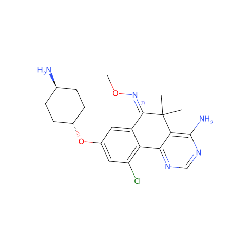 CO/N=C1\c2cc(O[C@H]3CC[C@H](N)CC3)cc(Cl)c2-c2ncnc(N)c2C1(C)C